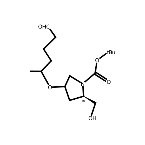 CC(CCCC=O)OC1C[C@H](CO)N(C(=O)OC(C)(C)C)C1